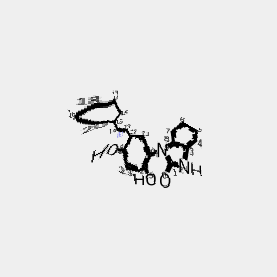 O=c1[nH]c2ccccc2n1-c1cc(/C=C/C2CCCCC2)c(O)cc1O